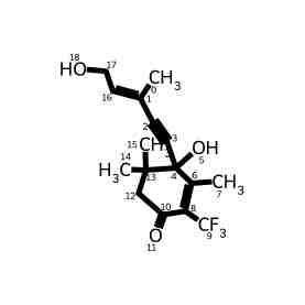 CC(C#CC1(O)C(C)=C(C(F)(F)F)C(=O)CC1(C)C)=CCO